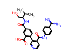 CC(C)C(CO)NC(=O)c1ccc(-c2cnccc2C(=O)Nc2ccc(C(=N)N)cc2)c(C(=O)O)c1